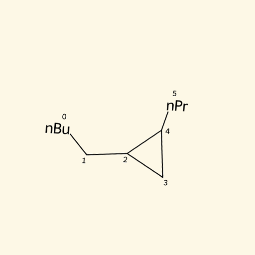 CCCCCC1CC1CCC